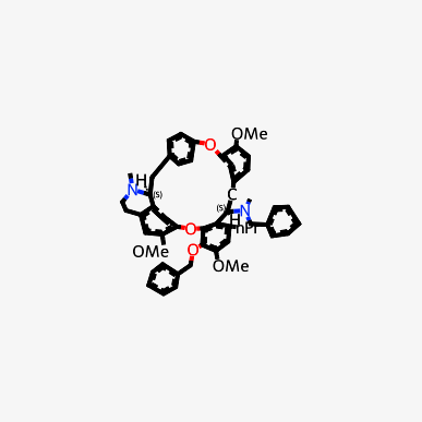 CCCc1cc(OC)c(OCc2ccccc2)c2c1[C@@H](N(C)Cc1ccccc1)Cc1ccc(OC)c(c1)Oc1ccc(cc1)C[C@H]1c3cc(c(OC)cc3CCN1C)O2